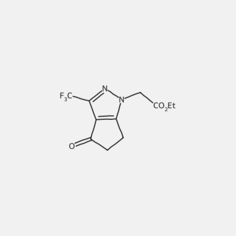 CCOC(=O)Cn1nc(C(F)(F)F)c2c1CCC2=O